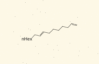 [CH2]CCCCCCC=CCCCCCC=C